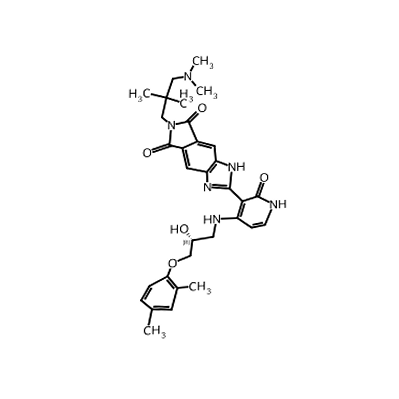 Cc1ccc(OC[C@H](O)CNc2cc[nH]c(=O)c2-c2nc3cc4c(cc3[nH]2)C(=O)N(CC(C)(C)CN(C)C)C4=O)c(C)c1